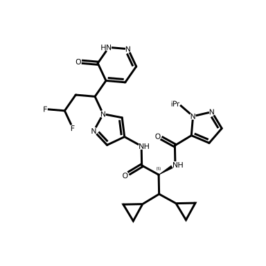 CC(C)n1nccc1C(=O)N[C@H](C(=O)Nc1cnn(C(CC(F)F)c2ccn[nH]c2=O)c1)C(C1CC1)C1CC1